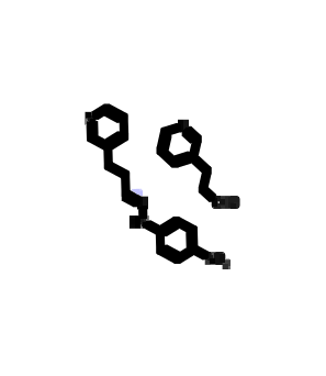 O=CCCc1cccnc1.O=[N+]([O-])c1ccc(N/N=C/CCc2cccnc2)cc1